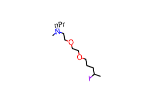 CCCN(C)CCOCCOCCCC(C)I